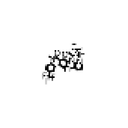 CC(=O)N[C@@H]1COc2c(C(=O)N(C)c3ccc(C(F)(F)F)cc3)cccc2N1c1ncccc1Cl